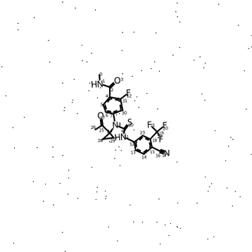 CNC(=O)c1ccc(N(C(=S)Nc2ccc(C#N)c(C(F)(F)F)c2)C2(C(C)=O)CC2)cc1F